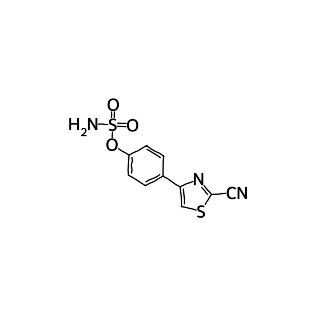 N#Cc1nc(-c2ccc(OS(N)(=O)=O)cc2)cs1